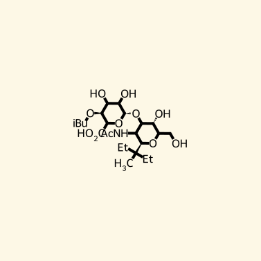 CCC(C)O[C@@H]1C(C(=O)O)O[C@@H](OC2C(NC(C)=O)[C@H](C(C)(CC)CC)OC(CO)[C@H]2O)C(O)C1O